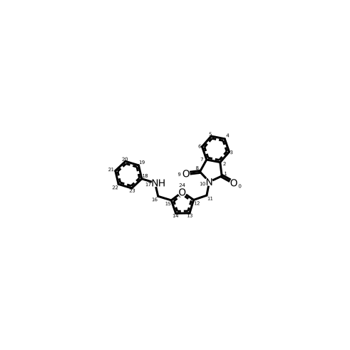 O=C1c2ccccc2C(=O)N1Cc1ccc(CNc2ccccc2)o1